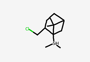 C[SiH](C)C12CC(CCC1CCl)C2(C)C